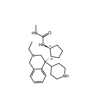 CCN1Cc2ccccc2C(C2CCNCC2)([C@H]2CCC[C@@H]2NC(=O)NC)C1